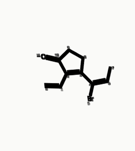 C=CC1=C(/C(Br)=C\C)CCC1=O